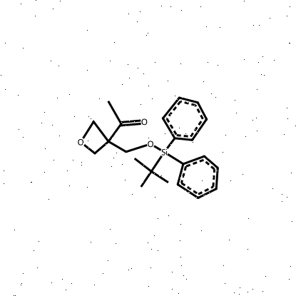 CC(=O)C1(CO[Si](c2ccccc2)(c2ccccc2)C(C)(C)C)COC1